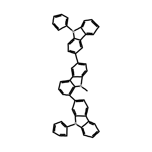 Cn1c2ccc(-c3ccc4c(c3)c3ccccc3n4-c3ccccc3)cc2c2cccc(-c3ccc4c5ccccc5n(-c5ccccc5)c4c3)c21